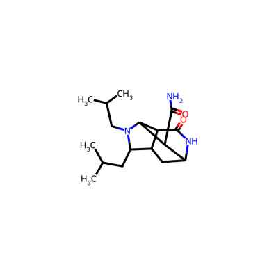 CC(C)CC1C2CC3NC(=O)C2C(C3C(N)=O)N1CC(C)C